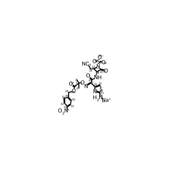 CC(C)(ON=C(C(=O)N[C@@H]1C(=O)N(S(=O)(=O)[O-])[C@@H]1CC#N)c1csc(N)n1)C(=O)OCc1ccc([N+](=O)[O-])cc1.[Na+]